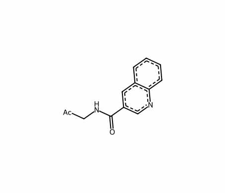 CC(=O)CNC(=O)c1cnc2ccccc2c1